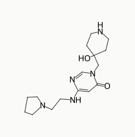 O=c1cc(NCCN2CCCC2)ncn1CC1(O)CCNCC1